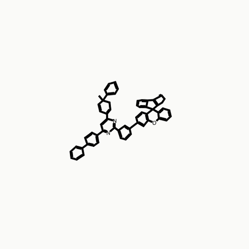 CC1(c2ccccc2)C=CC(c2cc(-c3ccc(-c4ccccc4)cc3)nc(-c3cccc(-c4ccc5c(c4)Oc4ccccc4C54C5=C(C=CCC5)c5ccccc54)c3)n2)=CC1